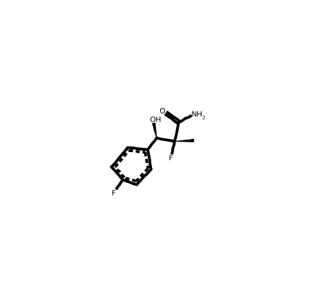 C[C@](F)(C(N)=O)[C@H](O)c1ccc(F)cc1